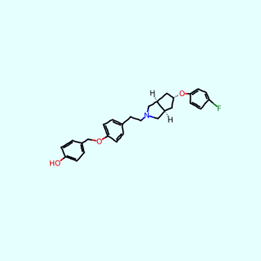 Oc1ccc(COc2ccc(CCN3C[C@H]4C[C@H](Oc5ccc(F)cc5)C[C@H]4C3)cc2)cc1